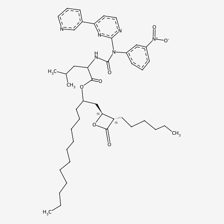 CCCCCCCCCCCC(C[C@@H]1OC(=O)[C@H]1CCCCCC)OC(=O)C(CC(C)C)NC(=O)N(c1cccc([N+](=O)[O-])c1)c1nccc(-c2cccnc2)n1